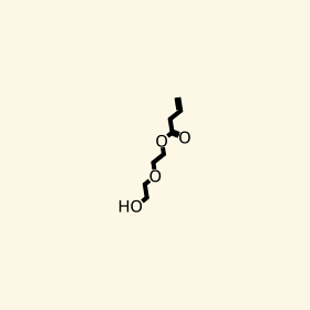 C=CCC(=O)OCCOCCO